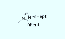 CCCCCCCN1C=CN(C)C1CCCCC